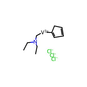 CCN(CC)[CH2][V+3][C]1=CC=CC1.[Cl-].[Cl-].[Cl-]